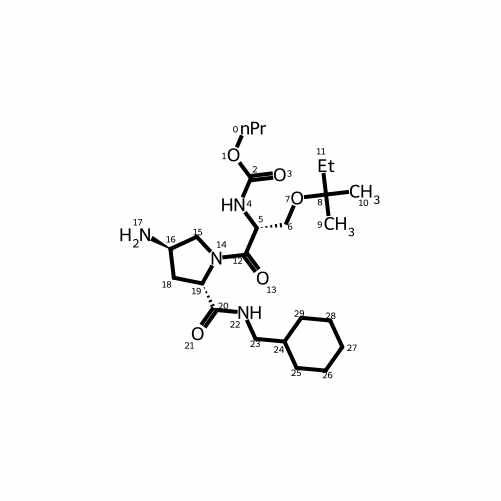 CCCOC(=O)N[C@H](COC(C)(C)CC)C(=O)N1C[C@H](N)C[C@H]1C(=O)NCC1CCCCC1